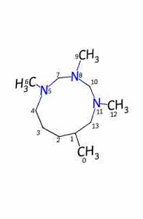 CC1CCCN(C)CN(C)CN(C)C1